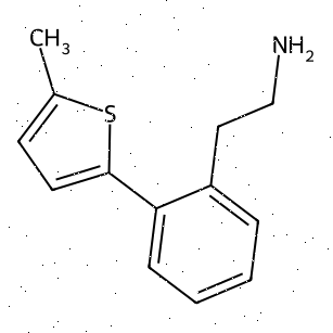 Cc1ccc(-c2ccccc2CCN)s1